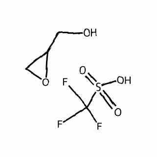 O=S(=O)(O)C(F)(F)F.OCC1CO1